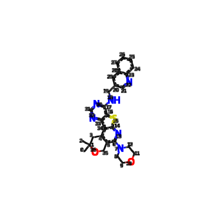 CC1(C)Cc2c(c(N3CCOCC3)nc3sc4c(NCc5cnc6ccccc6c5)ncnc4c23)CO1